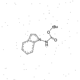 CC(C)(C)OC(=O)Nn1ccc2ccccc21